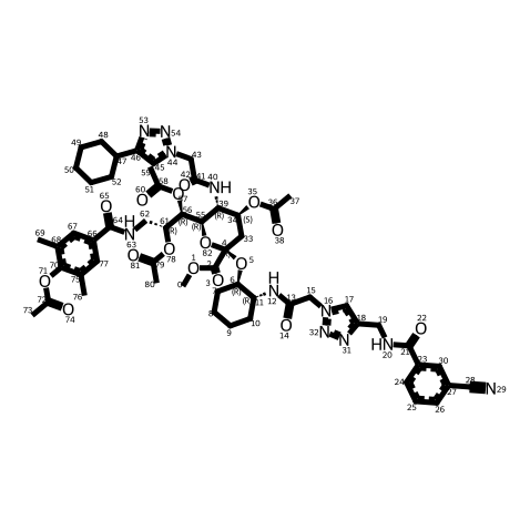 COC(=O)[C@@]1(O[C@@H]2CCCC[C@H]2NC(=O)Cn2cc(CNC(=O)c3cccc(C#N)c3)nn2)C[C@H](OC(C)=O)[C@@H](NC(=O)Cn2cc(C3CCCCC3)nn2)[C@H]([C@H](OC(C)=O)[C@@H](CNC(=O)c2cc(C)c(OC(C)=O)c(C)c2)OC(C)=O)O1